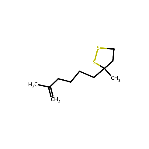 C=C(C)CCCCC1(C)CCSS1